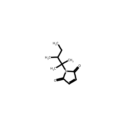 CCC(C)C(C)(C)N1C(=O)C=CC1=O